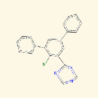 Brc1c(-c2ccccc2)cc(-c2ccccc2)cc1-c1ncncn1